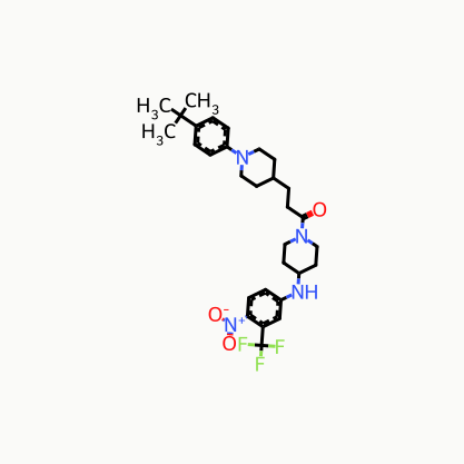 CC(C)(C)c1ccc(N2CCC(CCC(=O)N3CCC(Nc4ccc([N+](=O)[O-])c(C(F)(F)F)c4)CC3)CC2)cc1